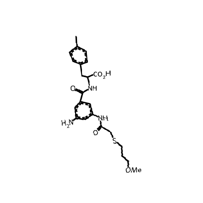 COCCCSCC(=O)Nc1cc(N)cc(C(=O)NC(Cc2ccc(C)cc2)C(=O)O)c1